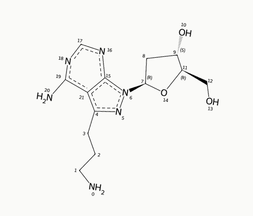 NCCCc1nn([C@H]2C[C@H](O)[C@@H](CO)O2)c2ncnc(N)c12